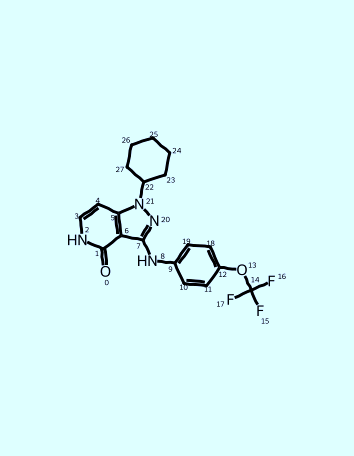 O=c1[nH]ccc2c1c(Nc1ccc(OC(F)(F)F)cc1)nn2C1CCCCC1